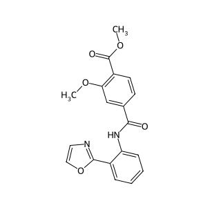 COC(=O)c1ccc(C(=O)Nc2ccccc2-c2ncco2)cc1OC